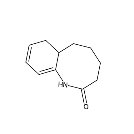 O=C1CCCCC2CC=CC=C2N1